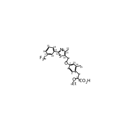 CCOC(Cc1ccc(OCc2sc(-c3cccc(C(F)(F)F)c3)nc2C)cc1C)C(=O)O